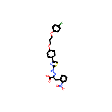 O=C(O)C(Cc1ccccc1[N+](=O)[O-])=NNc1nc(-c2ccc(OCCCOc3ccc(Cl)cc3)cc2)cs1